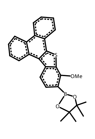 COc1c(B2OC(C)(C)C(C)(C)O2)ccc2c1sc1c3ccccc3c3ccccc3c21